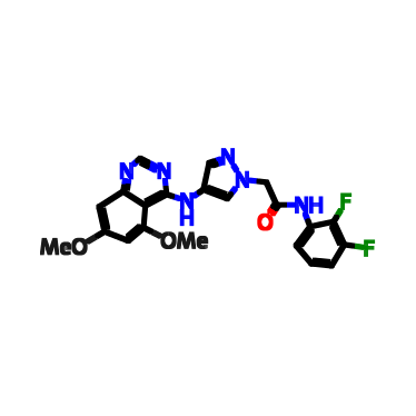 COc1cc(OC)c2c(Nc3cnn(CC(=O)Nc4cccc(F)c4F)c3)ncnc2c1